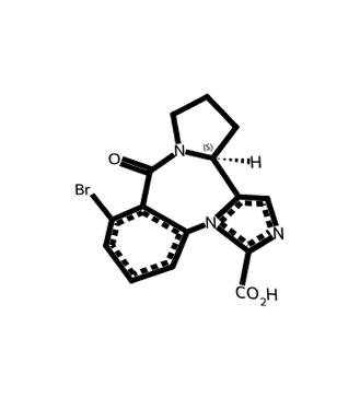 O=C(O)c1ncc2n1-c1cccc(Br)c1C(=O)N1CCC[C@@H]21